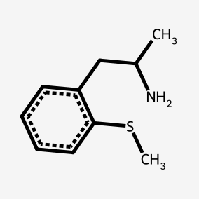 CSc1ccccc1CC(C)N